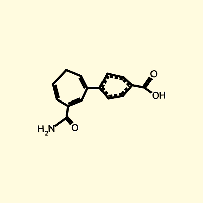 NC(=O)C1=CC(c2ccc(C(=O)O)cc2)=CCC=C1